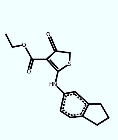 CCOC(=O)C1=C(Nc2ccc3c(c2)CCC3)SCC1=O